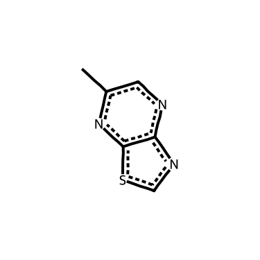 Cc1cnc2ncsc2n1